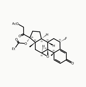 CCC(=O)O[C@]1(C(=O)COC(C)=O)CC[C@H]2[C@@H]3C[C@H](F)C4=CC(=O)C=C[C@]4(C)[C@@]34O[C@H]4C[C@@]21C